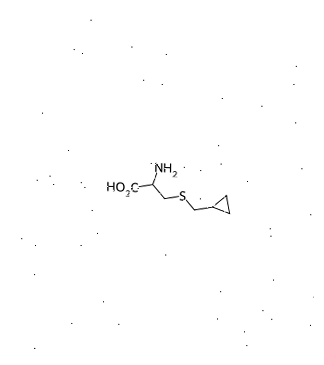 NC(CSCC1CC1)C(=O)O